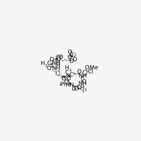 COc1ccc(C[C@H]2NC(=O)/C=C/C[C@@H]([C@H](C)[C@H]3O[C@@H]3c3ccc(CNC(=O)[C@H](C)NC(=O)[C@@H](NC(=O)CCCC(=O)ON4C(=O)CCC4=O)C(C)C)cc3)OC(=O)[C@H](CC(C)C)NC(=O)C(C)(C)CNC2=O)cc1Cl